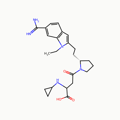 CCn1c(CC[C@@H]2CCCN2C(=O)CC(NC2CC2)C(=O)O)cc2ccc(C(=N)N)cc21